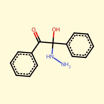 NNC(O)(C(=O)c1ccccc1)c1ccccc1